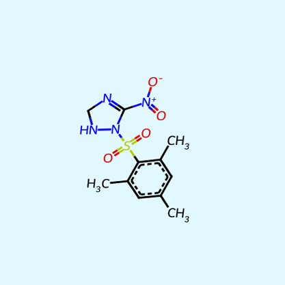 Cc1cc(C)c(S(=O)(=O)N2NCN=C2[N+](=O)[O-])c(C)c1